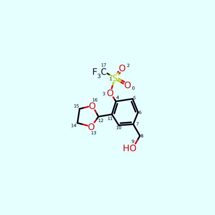 O=S(=O)(Oc1ccc(CO)cc1C1OCCO1)C(F)(F)F